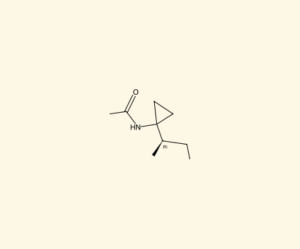 CC[C@@H](C)C1(NC(C)=O)CC1